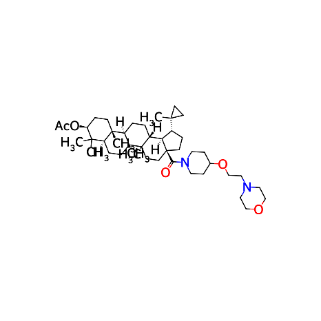 CC(=O)O[C@H]1CC[C@]2(C)[C@H]3CC[C@@H]4[C@H]5[C@H](C6(C)CC6)CC[C@]5(C(=O)N5CCC(OCCN6CCOCC6)CC5)CC[C@@]4(C)[C@]3(C)CC[C@H]2C1(C)C